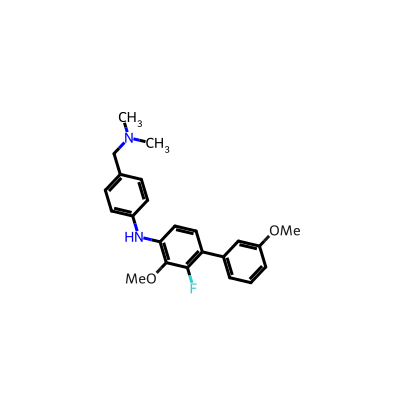 COc1cccc(-c2ccc(Nc3ccc(CN(C)C)cc3)c(OC)c2F)c1